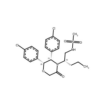 CCC[C@@H](CNS(C)(=O)=O)N1C(=O)CO[C@H](c2ccc(Cl)cc2)[C@@H]1c1ccc(Cl)cc1